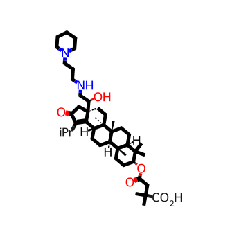 CC(C)C1=C2[C@H]3CC[C@@H]4[C@@]5(C)CC[C@H](OC(=O)CC(C)(C)C(=O)O)C(C)(C)[C@@H]5CC[C@@]4(C)[C@]3(C)CC[C@@]2([C@H](O)CNCCCN2CCCCC2)CC1=O